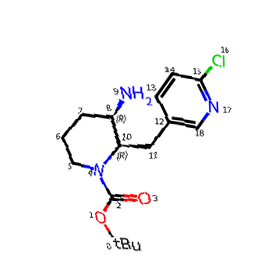 CC(C)(C)OC(=O)N1CCC[C@@H](N)[C@H]1Cc1ccc(Cl)nc1